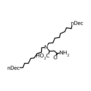 CCCCCCCCCCCCCCCCCCN(CCCCCCCCCCCCCCCCCC)C(CC(N)=O)C(=O)O